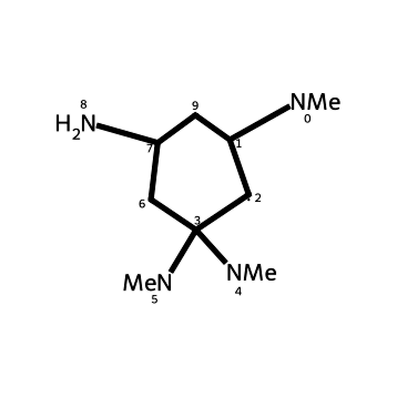 CNC1[CH]C(NC)(NC)CC(N)C1